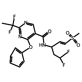 CC(F)(F)c1ncc(C(=O)NC(C=CS(C)(=O)=O)CC(F)F)c(Oc2ccccc2)n1